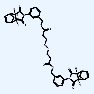 O=C(CCSSCCC(=O)OCc1cccc(N2C(=O)[C@@H]3C4C=CC(C4)[C@@H]3C2=O)c1)OCc1cccc(N2C(=O)[C@@H]3C4C=CC(C4)[C@@H]3C2=O)c1